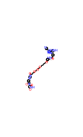 C[C@@H](NC(=O)c1cccc(NC2(c3nnc(-c4ccncc4)[nH]3)CCNCC2)c1)c1cccc(OCCCCCCOCCOCCOCCCC(=O)N2CCN(c3ccc4c(c3)CN(C3CCC(=O)NC3=O)C4=O)CC2)c1